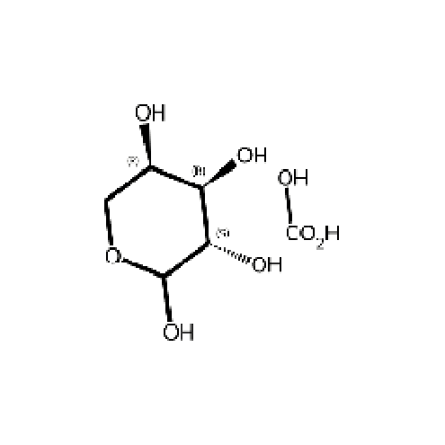 O=C(O)O.OC1OC[C@@H](O)[C@@H](O)[C@@H]1O